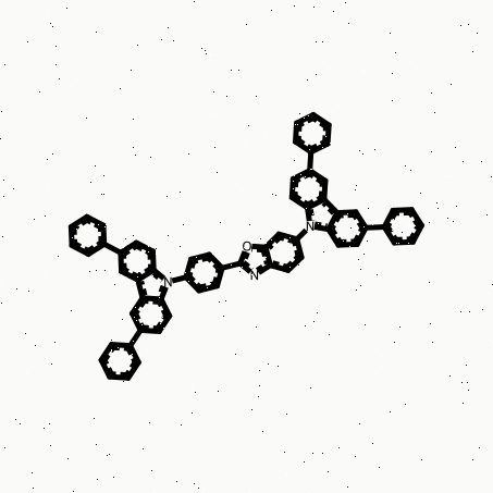 c1ccc(-c2ccc3c(c2)c2cc(-c4ccccc4)ccc2n3-c2ccc(-c3nc4ccc(-n5c6ccc(-c7ccccc7)cc6c6cc(-c7ccccc7)ccc65)cc4o3)cc2)cc1